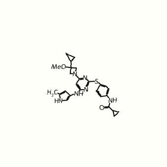 COC1(C2CC2)CN(c2cc(Nc3c[nH]c(C)c3)nc(Sc3ccc(NC(=O)C4CC4)cc3)n2)C1